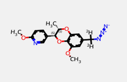 [2H]C([2H])(N=[N+]=[N-])c1cc(OC)c2c(c1)O[C@@H](C)[C@H](c1ccc(OC)nc1)O2